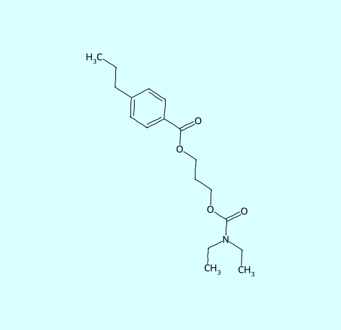 CCCc1ccc(C(=O)OCCCOC(=O)N(CC)CC)cc1